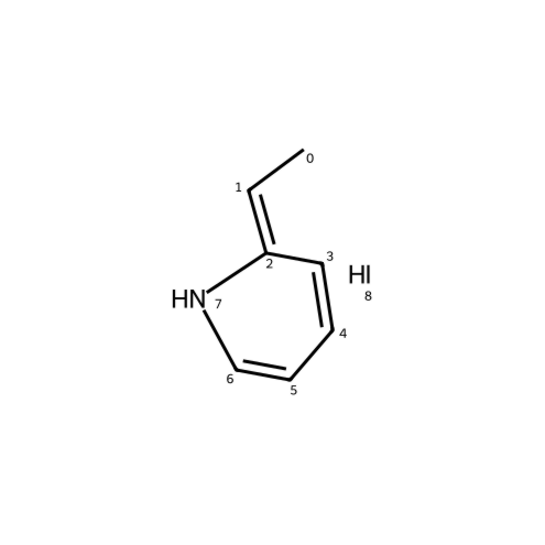 CC=C1C=CC=CN1.I